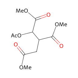 COC(=O)CC(C(=O)OC)C(OC(C)=O)C(=O)OC